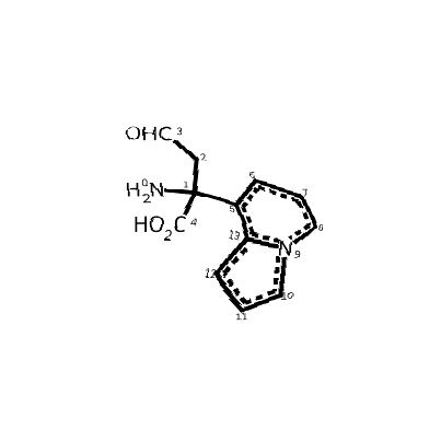 NC(CC=O)(C(=O)O)c1cccn2cccc12